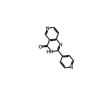 O=c1[nH]c(-c2ccncc2)nc2ccncc12